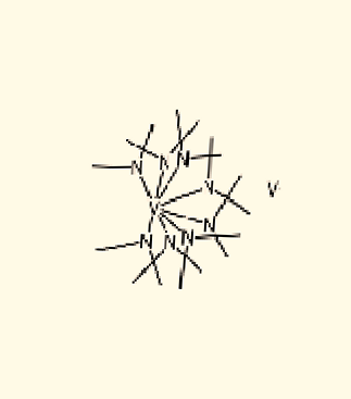 C[N](C)[V]([N](C)C)([N](C)C)([N](C)C)([N](C)C)([N](C)C)([N](C)C)[N](C)C.[V]